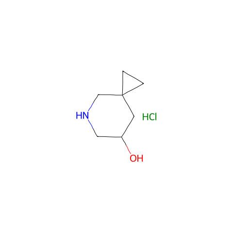 Cl.OC1CNCC2(CC2)C1